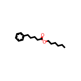 CCCCCCOC(=O)CCCCc1ccccc1